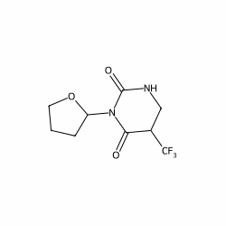 O=C1NCC(C(F)(F)F)C(=O)N1C1CCCO1